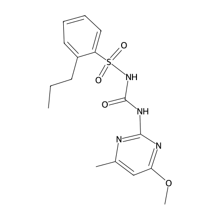 CCCc1ccccc1S(=O)(=O)NC(=O)Nc1nc(C)cc(OC)n1